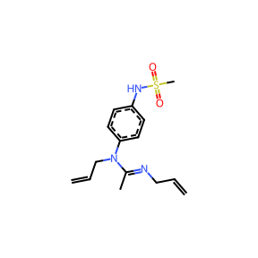 C=CCN=C(C)N(CC=C)c1ccc(NS(C)(=O)=O)cc1